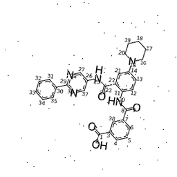 O=C(O)c1cccc(C(=O)Nc2ccc(N3CCCCC3)cc2C(=O)Nc2cnc(-c3ccccc3)nc2)c1